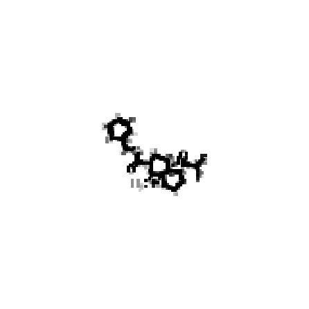 C[C@H]1[C@H]2CCC[C@@H](C(=O)C(F)F)[C@@H]2CCN1C(=O)OCc1ccccc1